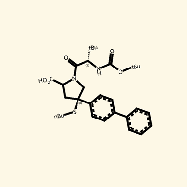 CCCCS[C@@]1(c2ccc(-c3ccccc3)cc2)CC(C(=O)O)N(C(=O)[C@@H](NC(=O)OC(C)(C)C)C(C)(C)C)C1